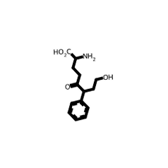 NC(CCC(=O)C(CCO)c1ccccc1)C(=O)O